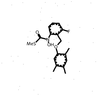 CSC(=O)N(O)c1cccc(F)c1COc1cc(C)c(C)cc1C